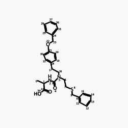 CC(NC(=O)N(CCSCc1ccccc1)CCc1ccc(OCc2ccccc2)cc1)C(=O)O